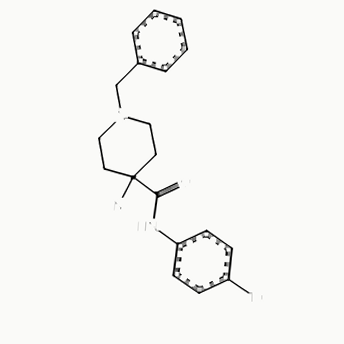 CCc1ccc(NC(=O)C2(N)CCN(Cc3ccccc3)CC2)cc1